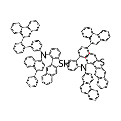 c1ccc(-c2ccc(N(c3cccc(-c4ccccc4-c4cc5ccccc5c5ccccc45)c3)c3cccc4c3-c3cc5ccccc5cc3[SH]4c3ccc(N(c4ccc5c(ccc6ccccc65)c4)c4cccc5sc6cc7ccccc7cc6c45)c(-c4ccc(-c5cc6ccccc6c6ccccc56)cc4)c3)c3ccccc23)cc1